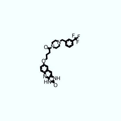 O=C(CCCOc1ccc2nc3[nH]c(=O)[nH]c3cc2c1)N1CCN(Cc2cccc(C(F)(F)F)c2)CC1